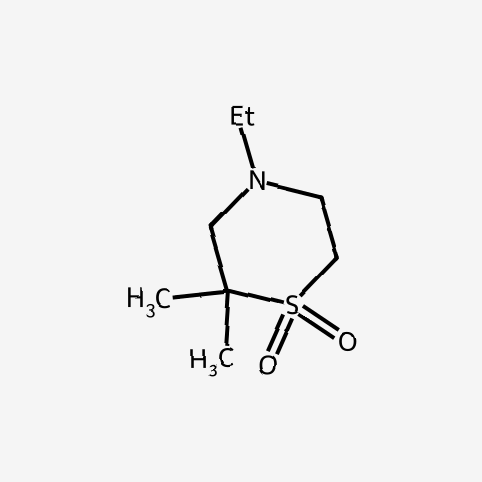 CCN1CCS(=O)(=O)C(C)(C)C1